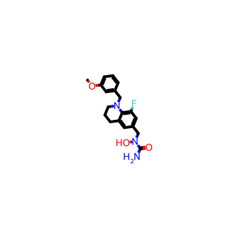 COc1cccc(CN2CCCc3cc(CN(O)C(N)=O)cc(F)c32)c1